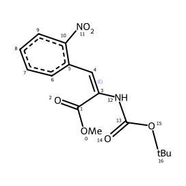 COC(=O)/C(=C\c1ccccc1[N+](=O)[O-])NC(=O)OC(C)(C)C